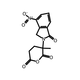 CC1(N2Cc3c(cccc3[N+](=O)[O-])C2=O)CCC(=O)OC1=O